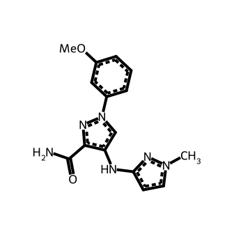 COc1cccc(-n2cc(Nc3ccn(C)n3)c(C(N)=O)n2)c1